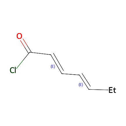 CC/C=C/C=C/C(=O)Cl